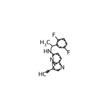 C#Cc1cnc2ccc(NC(C)c3cc(F)ccc3F)nn12